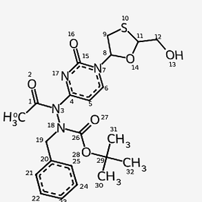 CC(=O)N(c1ccn(C2CSC(CO)O2)c(=O)n1)N(Cc1ccccc1)C(=O)OC(C)(C)C